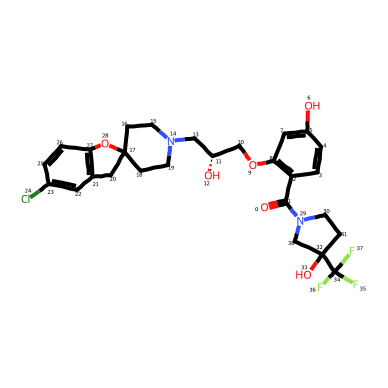 O=C(c1ccc(O)cc1OC[C@H](O)CN1CCC2(CC1)Cc1cc(Cl)ccc1O2)N1CCC(O)(C(F)(F)F)C1